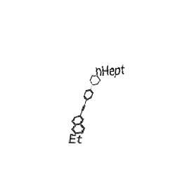 CCCCCCC[C@H]1CC[C@H](c2ccc(C#Cc3ccc4cc(CC)ccc4c3)cc2)CC1